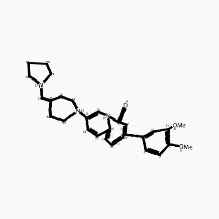 COc1ccc(C2=C\C(=O)N3C=C(N4CCC(CN5CCCC5)CC4)C=C\C3=C/C=C/2)cc1OC